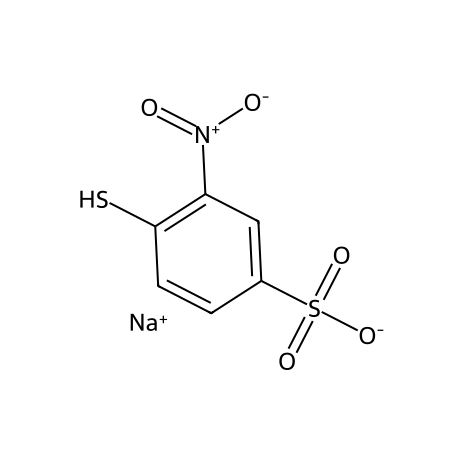 O=[N+]([O-])c1cc(S(=O)(=O)[O-])ccc1S.[Na+]